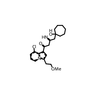 COCCc1cc(C(=O)CC(=N)CC2(O)CCCCCC2)c2c(Cl)cccn12